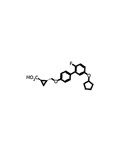 O=C(O)[C@@H]1C[C@H]1COc1ccc(-c2cc(OC3CCCC3)ccc2F)cc1